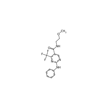 COCCNC(=O)c1cnc(Nc2ccccc2)nc1C(F)(F)F